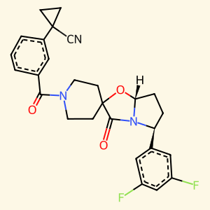 N#CC1(c2cccc(C(=O)N3CCC4(CC3)O[C@@H]3CC[C@@H](c5cc(F)cc(F)c5)N3C4=O)c2)CC1